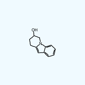 OC1CCc2cc3ccccc3n2C1